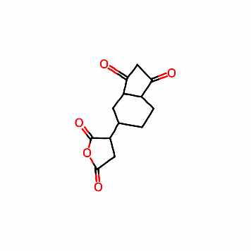 O=C1CC(C2CCC3C(=O)CC(=O)C3C2)C(=O)O1